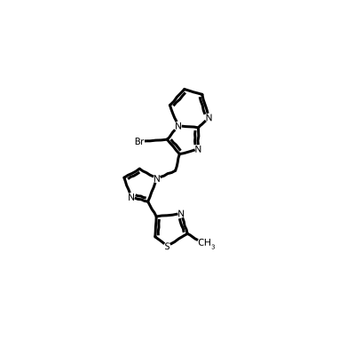 Cc1nc(-c2nccn2Cc2nc3ncccn3c2Br)cs1